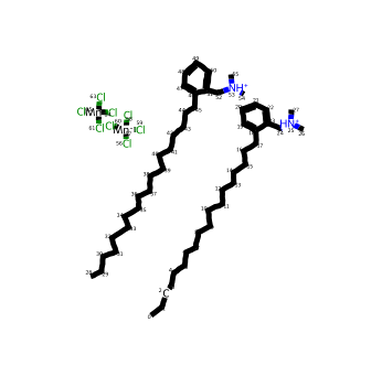 CCCCCCCCCCCCCCCCCCc1ccccc1C[NH+](C)C.CCCCCCCCCCCCCCCCCCc1ccccc1C[NH+](C)C.[Cl][Mn-]([Cl])([Cl])[Cl].[Cl][Mn-]([Cl])([Cl])[Cl]